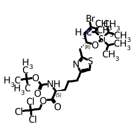 C/C(Br)=C\[C@@H](Cc1nc(CCC[C@H](NC(=O)OC(C)(C)C)C(=O)OCC(Cl)(Cl)Cl)cs1)O[Si](C(C)C)(C(C)C)C(C)C